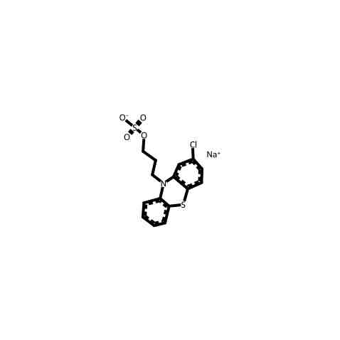 O=S(=O)([O-])OCCCN1c2ccccc2Sc2ccc(Cl)cc21.[Na+]